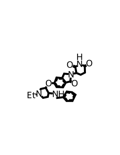 CCN1CCC(NCc2ccccc2)C(Oc2ccc3c(c2)CN(C2CCC(=O)NC2=O)C3=O)C1